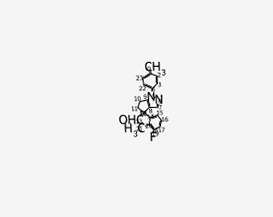 Cc1ccc(-n2ncc3c2CC[C@@]3(C=O)c2cccc(F)c2C)cc1